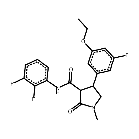 CCOc1cc(F)cc(C2CN(C)C(=O)C2C(=O)Nc2cccc(F)c2F)c1